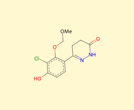 COCOc1c(C2=NNC(=O)CC2)ccc(O)c1Cl